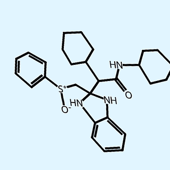 O=C(NC1CCCCC1)C(C1CCCCC1)C1(C[S+]([O-])c2ccccc2)Nc2ccccc2N1